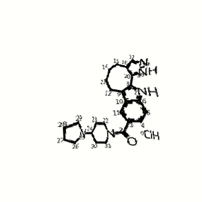 Cl.O=C(c1ccc2[nH]c3c(c2c1)CCCCc1cn[nH]c1-3)N1CCC(N2CCCC2)CC1